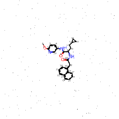 COc1ccc(NC(=O)C(CCC2CC2)NC(=O)Cc2cccc3ccccc23)cn1